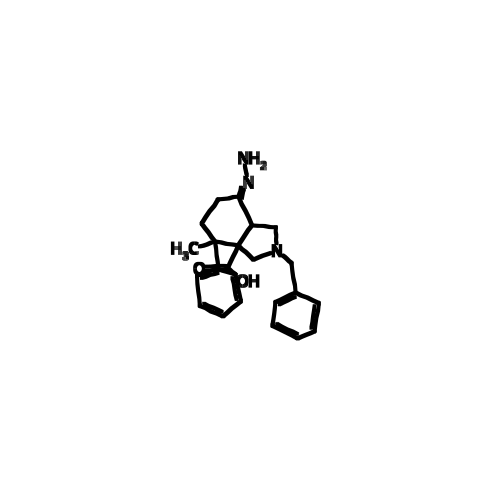 CC1(c2ccccc2)CCC(=NN)C2CN(Cc3ccccc3)CC21C(=O)O